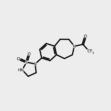 O=C(N1CCc2ccc(N3CCNS3(=O)=O)cc2CC1)C(F)(F)F